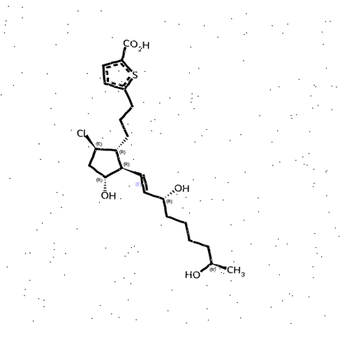 C[C@@H](O)CCCC[C@@H](O)/C=C/[C@@H]1[C@@H](CCCc2ccc(C(=O)O)s2)[C@H](Cl)C[C@H]1O